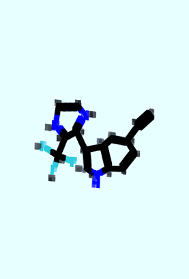 C#Cc1ccc2[nH]cc(-c3nccnc3C(F)(F)F)c2c1